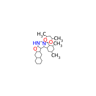 CC1CC(C)C2C(C1)C1C3C(NCN1C21OC(C)CC(C)O1)OC1CC2CCCCC2CC13